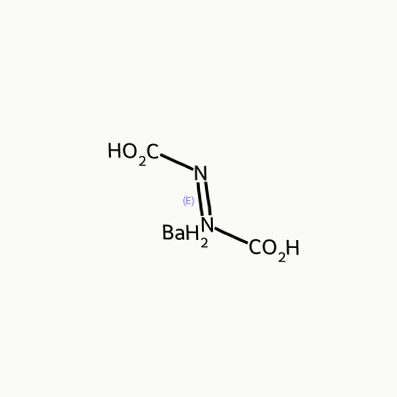 O=C(O)/N=N/C(=O)O.[BaH2]